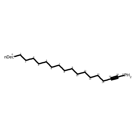 CCCCCCCCCCCCCCCCCCCCCCCCC#CP